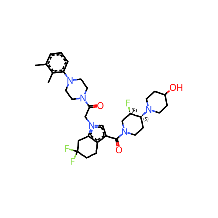 Cc1cccc(N2CCN(C(=O)Cn3cc(C(=O)N4CC[C@H](N5CCC(O)CC5)[C@H](F)C4)c4c3CC(F)(F)CC4)CC2)c1C